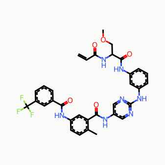 C=CC(=O)NC(COC)C(=O)Nc1cccc(Nc2ncc(NC(=O)c3cc(NC(=O)c4cccc(C(F)(F)F)c4)ccc3C)cn2)c1